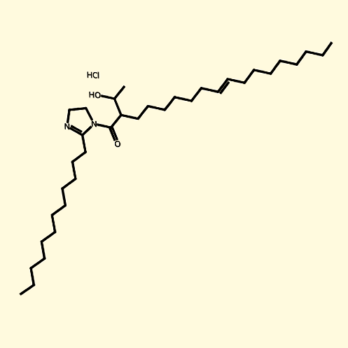 CCCCCCCCC=CCCCCCCC(C(=O)N1CCN=C1CCCCCCCCCCCC)C(C)O.Cl